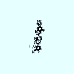 Cc1c([C@@H]2CN3CCN(C(=O)Cc4c(F)cc(-n5cnnn5)cc4F)C[C@@H]3CO2)ccc(F)c1C#N